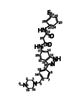 CN1CCN(Cc2ccc(-c3n[nH]c4cc(NC(=O)CC(=O)Nc5cccc(F)c5)ccc34)cc2)CC1